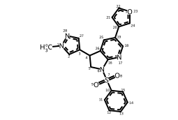 Cn1cc(C2CN(S(=O)(=O)c3ccccc3)c3ncc(-c4ccoc4)cc32)cn1